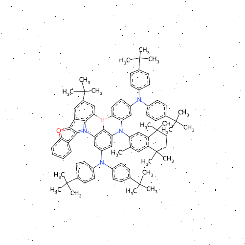 Cc1cc2c(cc1N1c3cc(N(c4ccc(C(C)(C)C)cc4)c4ccc(C(C)(C)C)cc4)ccc3B3c4c1cc(N(c1ccc(C(C)(C)C)cc1)c1ccc(C(C)(C)C)cc1)cc4-n1c4c3cc(C(C)(C)C)cc4c3oc4ccccc4c31)C(C)(C)CCC2(C)C